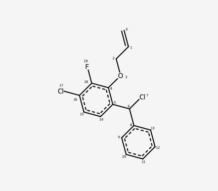 C=CCOc1c(C(Cl)c2ccccc2)ccc(Cl)c1F